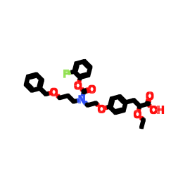 CCOC(Cc1ccc(OCCN(CCCOCc2ccccc2)C(=O)Oc2ccccc2F)cc1)C(=O)O